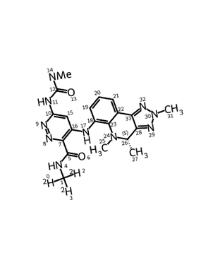 [2H]C([2H])([2H])NC(=O)c1nnc(NC(=O)NC)cc1Nc1cccc2c1N(C)[C@@H](C)c1nn(C)nc1-2